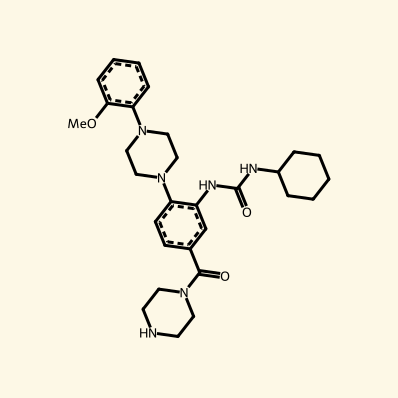 COc1ccccc1N1CCN(c2ccc(C(=O)N3CCNCC3)cc2NC(=O)NC2CCCCC2)CC1